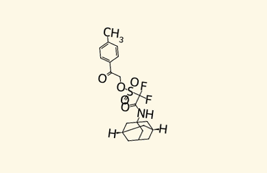 Cc1ccc(C(=O)COS(=O)(=O)C(F)(F)C(=O)NC23CC4C[C@H](C2)C[C@@H](C4)C3)cc1